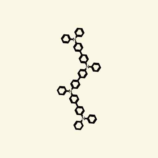 C1=CC(N(c2ccc(-c3ccc(N(c4ccccc4)c4ccc(-c5ccc(N(c6ccccc6)c6ccccc6)cc5)cc4)cc3)cc2)c2ccc(-c3ccc(N(c4ccccc4)C4C=CCCC4)cc3)cc2)=CCC1